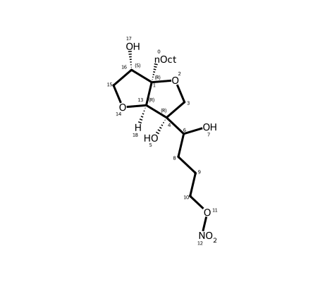 CCCCCCCC[C@]12OC[C@@](O)(C(O)CCCO[N+](=O)[O-])[C@H]1OC[C@@H]2O